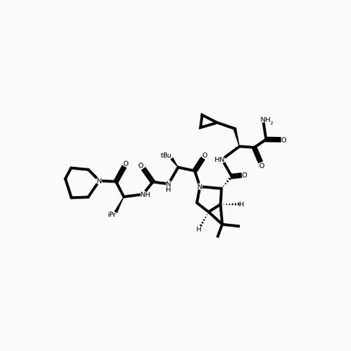 CC(C)[C@H](NC(=O)N[C@H](C(=O)N1C[C@H]2[C@@H]([C@H]1C(=O)N[C@@H](CC1CC1)C(=O)C(N)=O)C2(C)C)C(C)(C)C)C(=O)N1CCCCC1